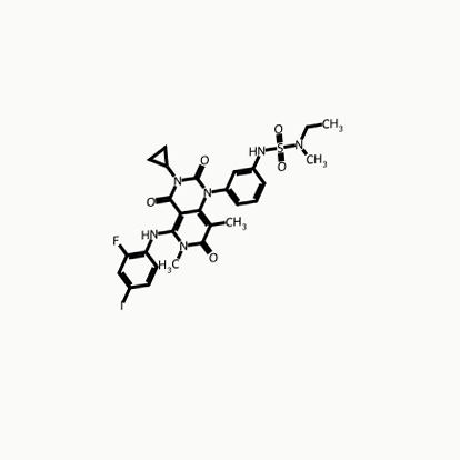 CCN(C)S(=O)(=O)Nc1cccc(-n2c(=O)n(C3CC3)c(=O)c3c(Nc4ccc(I)cc4F)n(C)c(=O)c(C)c32)c1